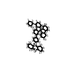 c1ccc(-c2cccc3c2-c2ccc(-c4ccc(N5c6ccccc6Sc6ccccc65)cc4)cc2C32c3ccccc3-c3ccccc32)cc1